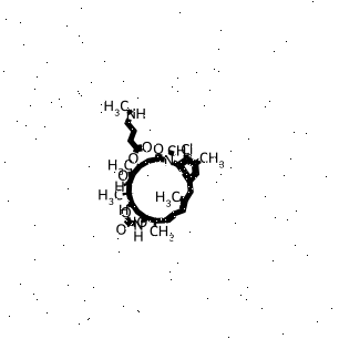 CNCCCC(=O)O[C@H]1CC(=O)N(C)c2cc(cc(C)c2Cl)C/C(C)=C/C=C/[C@@H](C)[C@@]2(O)C[C@H](OC(=O)N2)[C@@H](C)[C@@H]2O[C@@]12C